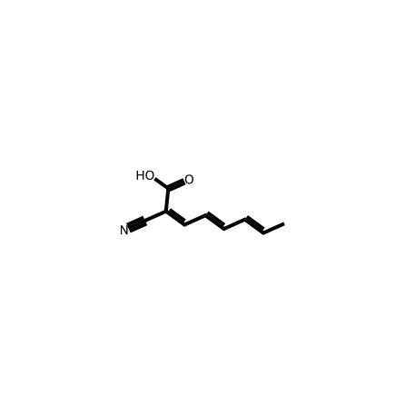 CC=CC=CC=C(C#N)C(=O)O